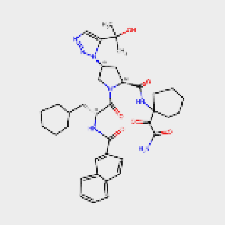 CC(C)(O)c1cnnn1[C@H]1C[C@@H](C(=O)NC2(C(=O)C(N)=O)CCCCC2)N(C(=O)[C@@H](CC2CCCCC2)NC(=O)c2ccc3ccccc3c2)C1